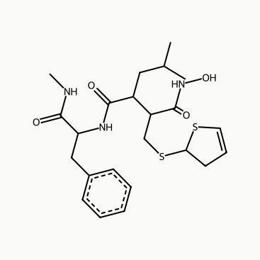 CNC(=O)C(Cc1ccccc1)NC(=O)C(CC(C)C)C(CSC1CC=CS1)C(=O)NO